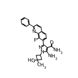 CC1(O)CC(n2nc(-c3ccc4ccc(-c5ccccc5)nc4c3F)c(C(N)=O)c2N)C1